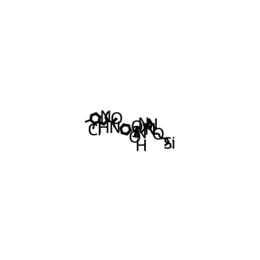 Cc1ccc2c(cc(C(=O)Nc3ccc(S(=O)(=O)Nc4ncnn4COCC[Si](C)(C)C)cc3)n2C)c1Cl